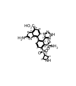 Nc1nc2c(-c3ccc(S(=O)(=O)C4CNC4)c(S(N)(=O)=O)c3-c3nn[nH]n3)ccc(C(=O)O)c2s1